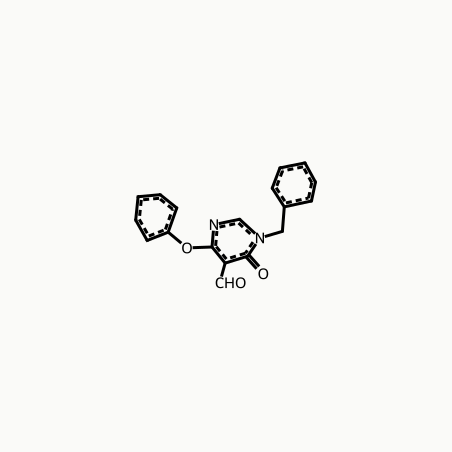 O=Cc1c(Oc2ccccc2)ncn(Cc2ccccc2)c1=O